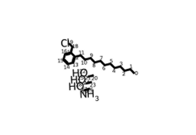 CCCCCCCCCCCCc1ccccc1CCl.CCO.CCO.CCO.N